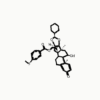 CSc1ccc(C(=O)OCC(=O)[C@@]23O[C@H](C4CCCCC4)O[C@@H]2CC2C4CCC5=CC(=O)C=C[C@]5(C)C4[C@@H](O)C[C@@]23C)cc1